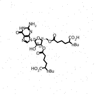 CCCCC(CCCC(=O)OC[C@H]1O[C@@H](n2cnc3c(=O)[nH]c(N)nc32)[C@H](O)[C@@H]1OC(=O)CCCC(CCCC)C(=O)O)C(=O)O